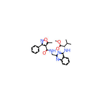 COC(=O)[C@@H](Nc1nc(CNC(=O)c2c(-c3ccccc3)noc2C)nc2ccccc12)C(C)C